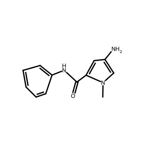 Cn1cc(N)cc1C(=O)Nc1ccccc1